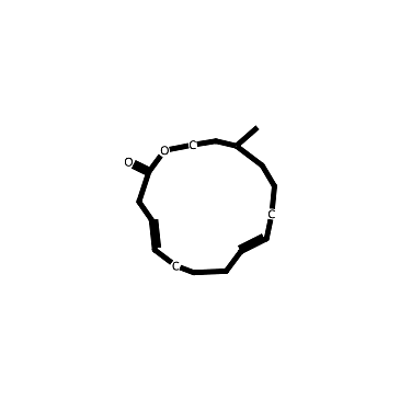 CC1CCC/C=C/CCC/C=C/CC(=O)OCC1